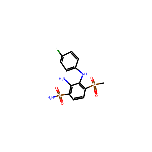 CS(=O)(=O)c1ccc(S(N)(=O)=O)c(N)c1Nc1ccc(F)cc1